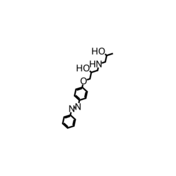 CC(O)CNCC(O)COc1ccc(N=Nc2ccccc2)cc1